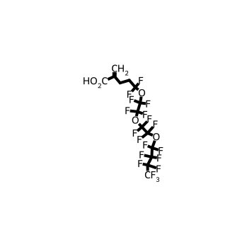 C=C(CCC(F)(F)OC(F)(F)C(F)(F)OC(F)(F)C(F)(F)OC(F)(F)C(F)(F)C(F)(F)C(F)(F)F)C(=O)O